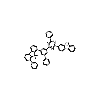 CC1(C)c2c(-c3ccccc3)cccc2-c2cccc(-c3cc(-c4ccccc4)cc(-c4nc(-c5ccccc5)nc(-c5ccc6c(c5)oc5ccccc56)n4)c3)c21